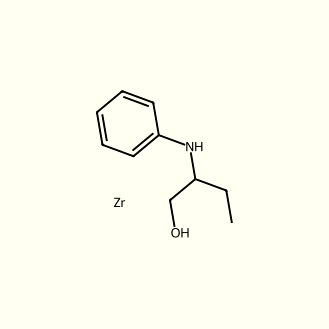 CCC(CO)Nc1ccccc1.[Zr]